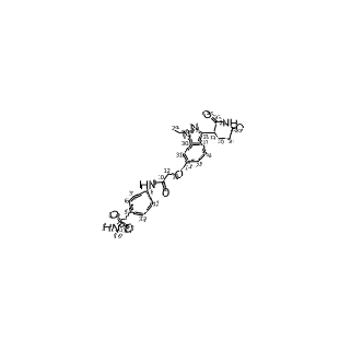 CNS(=O)(=O)c1ccc(NC(=O)COc2ccc3c(C4CCC(=O)NC4=O)nn(C)c3c2)cc1